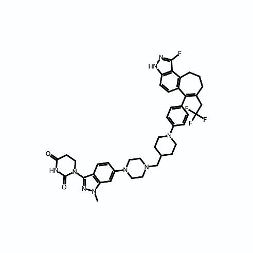 Cn1nc(N2CCC(=O)NC2=O)c2ccc(N3CCN(CC4CCN(c5ccc(C6=C(CC(F)(F)F)CCCc7c6ccc6[nH]nc(F)c76)cc5)CC4)CC3)cc21